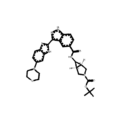 CC(C)(C)OC(=O)N1C[C@@H]2C(NC(=O)c3ccc4[nH]nc(-c5nc6ccc(N7CCOCC7)cc6[nH]5)c4c3)[C@@H]2C1